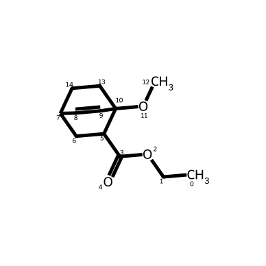 CCOC(=O)C1CC2C=CC1(OC)CC2